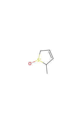 CC1C=CC[S+]1[O-]